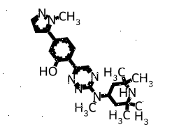 CN(c1ncc(-c2ccc(-c3ccnn3C)cc2O)nn1)C1CC(C)(C)NC(C)(C)C1